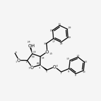 COC1O[C@H](COCc2ccccc2)C(OCc2ccccc2)[C@@H]1O